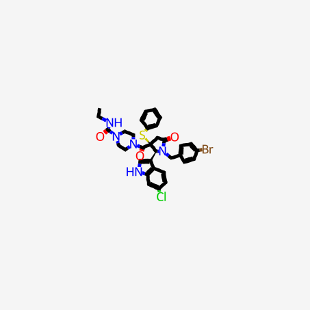 CCNC(=O)N1CCN(C(=O)[C@]2(Sc3ccccc3)CC(=O)N(Cc3ccc(Br)cc3)[C@H]2c2c[nH]c3cc(Cl)ccc23)CC1